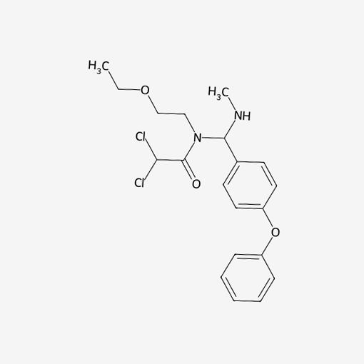 CCOCCN(C(=O)C(Cl)Cl)C(NC)c1ccc(Oc2ccccc2)cc1